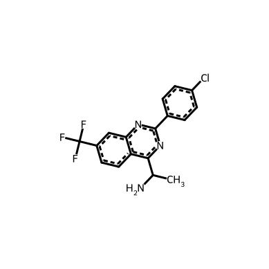 CC(N)c1nc(-c2ccc(Cl)cc2)nc2cc(C(F)(F)F)ccc12